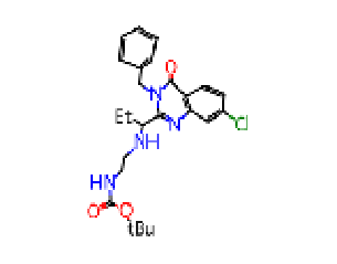 CCC(NCCNC(=O)OC(C)(C)C)c1nc2cc(Cl)ccc2c(=O)n1Cc1ccccc1